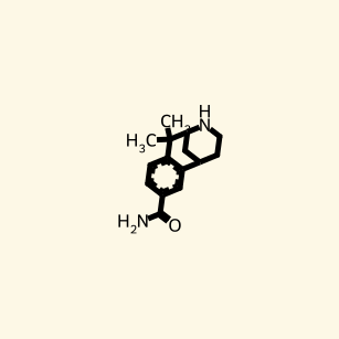 CC1(C)c2ccc(C(N)=O)cc2C2CCNC1C2